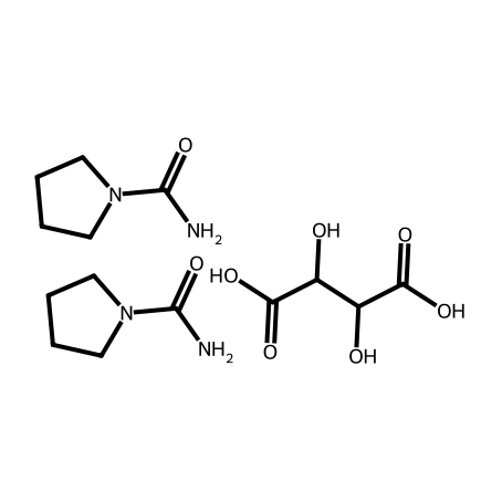 NC(=O)N1CCCC1.NC(=O)N1CCCC1.O=C(O)C(O)C(O)C(=O)O